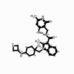 CSc1cc(C)[nH]c(=O)c1CNC(=O)c1c(C)n(CC2(C)CCC(NC3COC3)CC2)c2ccccc12